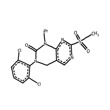 CC(C)N1C(=O)N(c2c(Cl)cccc2Cl)Cc2cnc(S(C)(=O)=O)nc21